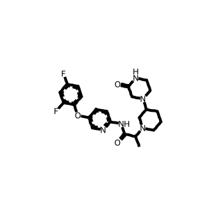 CC(C(=O)Nc1ccc(Oc2ccc(F)cc2F)cn1)N1CCCC(N2CCNC(=O)C2)C1